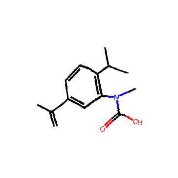 C=C(C)c1ccc(C(C)C)c(N(C)C(=O)O)c1